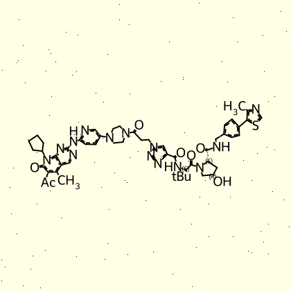 CC(=O)c1c(C)c2cnc(Nc3ccc(N4CCN(C(=O)CCn5cc(C(=O)N[C@H](C(=O)N6C[C@H](O)C[C@H]6C(=O)NCc6ccc(-c7scnc7C)cc6)C(C)(C)C)nn5)CC4)cn3)nc2n(C2CCCC2)c1=O